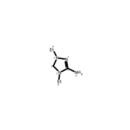 CCN1CN(CC)C(N)=N1